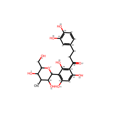 O=NC1C(O)C(CO)OC(c2c(O)cc(O)c(C(=O)CCc3ccc(O)c(O)c3)c2O)C1O